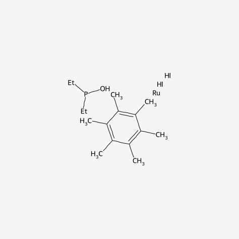 CCP(O)CC.Cc1c(C)c(C)c(C)c(C)c1C.I.I.[Ru]